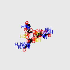 CC[C@@]1(COP(=O)(S)O[C@H]2C[C@H](n3cnc4c(=O)[nH]c(N)nc43)O[C@@H]2COP(=O)(S)O[C@H]2C[C@H](n3ccc(=O)[nH]c3=O)O[C@@H]2COP(=O)(O)S)C[C@@H](O)[C@H](n2cnc3c(=O)[nH]c(N)nc32)O1